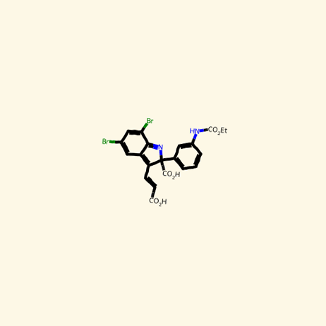 CCOC(=O)Nc1cccc(C2(C(=O)O)N=c3c(Br)cc(Br)cc3=C2C=CC(=O)O)c1